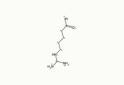 CC(C)C(=O)CCCCNC(N)N